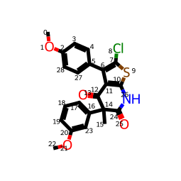 COc1ccc(-c2c(Cl)sc3c2C(=O)C(C)(c2cccc(OC)c2)C(=O)N3)cc1